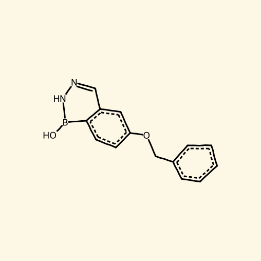 OB1NN=Cc2cc(OCc3ccccc3)ccc21